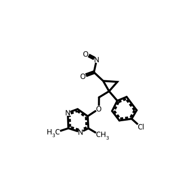 Cc1ncc(OCC2(c3ccc(Cl)cc3)CC2C(=O)N=O)c(C)n1